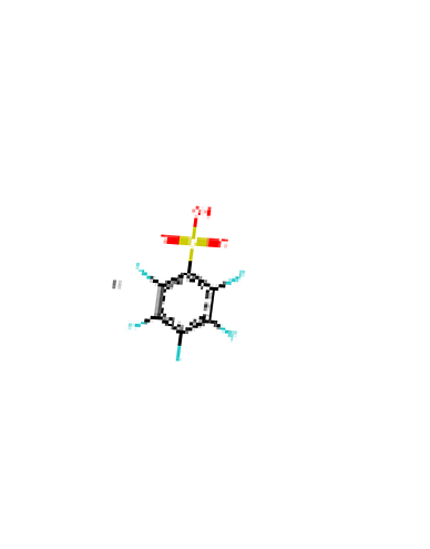 O=S(=O)(O)c1c(F)c(F)c(F)c(F)c1F.[Ti]